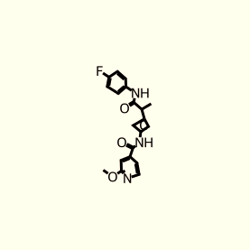 COc1cc(C(=O)NC23CC(C(C)C(=O)Nc4ccc(F)cc4)(C2)C3)ccn1